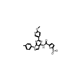 COc1ccc(-c2nc(NC(=O)c3ccc([N+](=O)[O-])s3)c3cnn(-c4ccc(C)cc4)c3n2)cn1